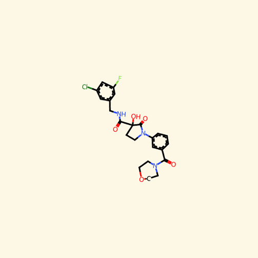 O=C(c1cccc(N2CCC(O)(C(=O)NCc3cc(F)cc(Cl)c3)C2=O)c1)N1CCOCC1